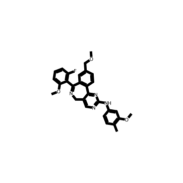 COCc1ccc2c(c1)C(c1c(F)cccc1OC)=NCc1cnc(Nc3ccc(C)c(OC)c3)nc1-2